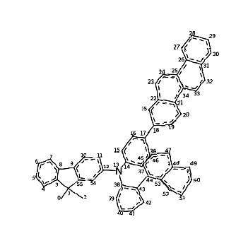 CC1(C)c2ccccc2-c2ccc(N(c3ccc(-c4ccc5c(ccc6c7ccccc7ccc56)c4)cc3)c3ccccc3-c3cccc4ccccc34)cc21